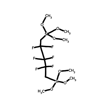 CO[Si](CC(F)(F)C(F)(F)C(F)(F)C[Si](OC)(OC)OC)(OC)OC